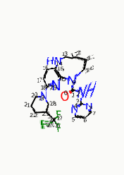 O=C(Nc1ncccn1)N1CCCCNc2ccc(N3CCCC(C(F)(F)F)C3)nc21